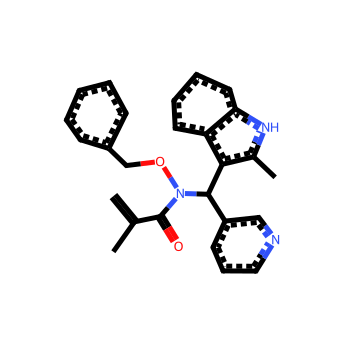 C=C(C)C(=O)N(OCc1ccccc1)C(c1cccnc1)c1c(C)[nH]c2ccccc12